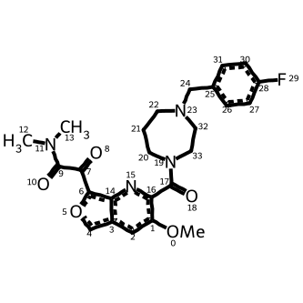 COc1cc2coc(C(=O)C(=O)N(C)C)c2nc1C(=O)N1CCCN(Cc2ccc(F)cc2)CC1